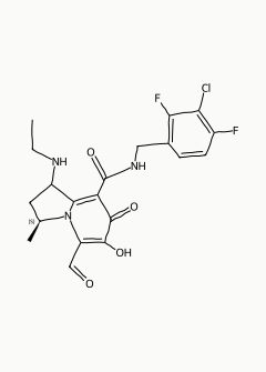 CCNC1C[C@H](C)n2c(C=O)c(O)c(=O)c(C(=O)NCc3ccc(F)c(Cl)c3F)c21